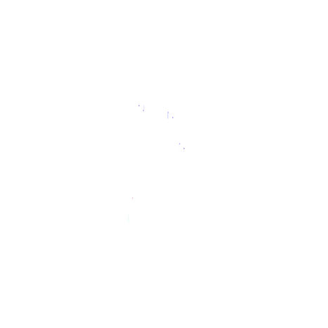 Cc1ccccc1-n1c(=O)nc(N)c2ccc(OC(F)(F)F)cc21